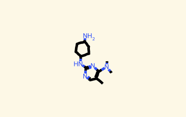 Cc1cnc(NC2CCC(N)CC2)nc1N(C)C